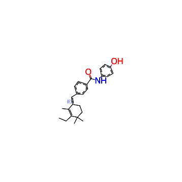 CCC1=C(C)/C(=C/c2ccc(C(=O)Nc3ccc(O)cc3)cc2)CCC1(C)C